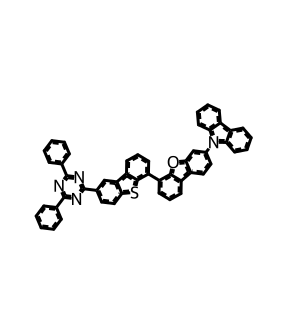 c1ccc(-c2nc(-c3ccccc3)nc(-c3ccc4sc5c(-c6cccc7c6oc6cc(-n8c9ccccc9c9ccccc98)ccc67)cccc5c4c3)n2)cc1